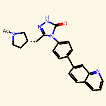 CC(=O)N1CC[C@@H](Cc2n[nH]c(=O)n2-c2ccc(-c3ccc4cccnc4c3)cc2)C1